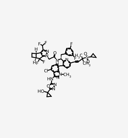 Cn1nc(Nc2nnc(C3(O)CC3)o2)c2c(Cl)ccc(-c3ccc(C#CC(C)(C)S(=O)(=O)C4CC4)nc3[C@H](Cc3cc(F)cc(F)c3)NC(=O)Cn3nc(C(F)F)c4c3C(F)(F)[C@@H]3CC[C@H]43)c21